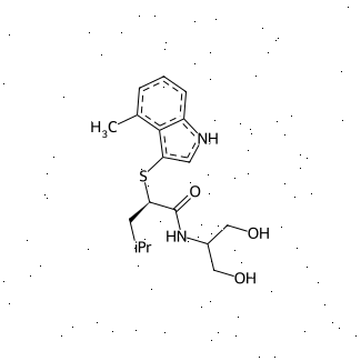 Cc1cccc2[nH]cc(S[C@H](CC(C)C)C(=O)NC(CO)CO)c12